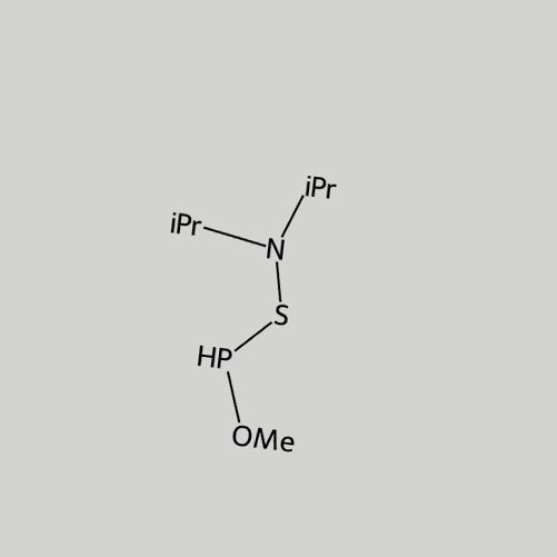 COPSN(C(C)C)C(C)C